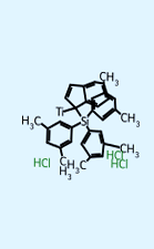 Cc1cc(C)cc([Si](c2cc(C)cc(C)c2)(c2cc(C)cc(C)c2)[C]2([Ti])C=Cc3ccccc32)c1.Cl.Cl.Cl